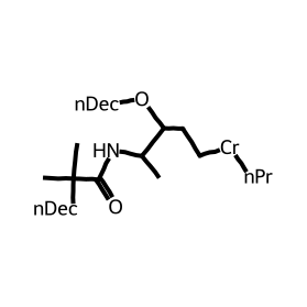 CCCCCCCCCCOC(C[CH2][Cr][CH2]CC)C(C)NC(=O)C(C)(C)CCCCCCCCCC